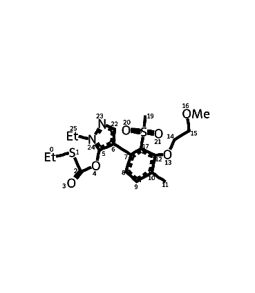 CCSC(=O)Oc1c(-c2c[c]c(C)c(OCCOC)c2S(C)(=O)=O)cnn1CC